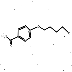 NC(=O)c1ccc(OCCCCCl)cn1